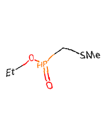 CCO[PH](=O)CSC